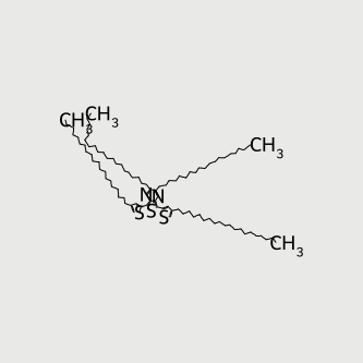 CCCCCCCCCCCCCCCCCCCCc1csc(-c2sc(-c3cc(CCCCCCCCCCCCCCCCCCCC)cs3)c3nc(CCCCCCCCCCCCCCCCCCCC)c(CCCCCCCCCCCCCCCCCCCC)nc23)c1